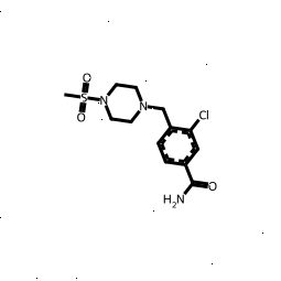 CS(=O)(=O)N1CCN(Cc2ccc(C(N)=O)cc2Cl)CC1